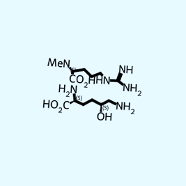 CN[C@@H](CCCNC(=N)N)C(=O)O.NC[C@@H](O)CC[C@H](N)C(=O)O